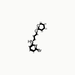 Brc1cccc(NCCCOC2CCCCO2)n1